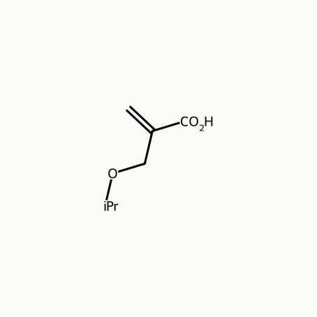 C=C(COC(C)C)C(=O)O